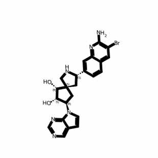 Nc1nc2cc([C@@H]3C[C@@]4(CN3)C[C@@H](n3ccc5cncnc53)[C@H](O)[C@@H]4O)ccc2cc1Br